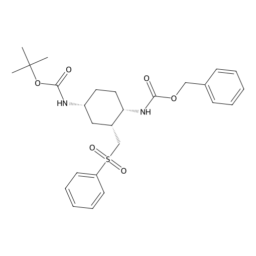 CC(C)(C)OC(=O)N[C@@H]1CC[C@H](NC(=O)OCc2ccccc2)[C@H](CS(=O)(=O)c2ccccc2)C1